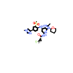 Cc1nc2c(Nc3ccc(-c4cn(C)cn4)cc3S(C)(=O)=O)cc(NC(=O)[C@@H]3C[C@@H]3F)nc2n1C1CCCCO1